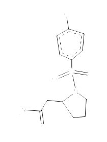 NC(=O)CC1CCCN1S(=O)(=O)c1ccc(Cl)cc1